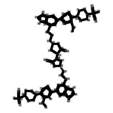 COc1nc(-c2cc(OCC[C@@H]3CC(=O)N(N4C[C@H](CCOc5cc(-c6ccc(N7CCN(S(C)(=O)=O)CC7)c(OC)n6)cc6ncsc56)CC4=O)C3)c3scnc3c2)ccc1N1CCN(S(C)(=O)=O)CC1